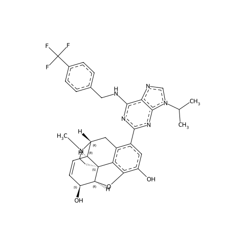 CC(C)n1cnc2c(NCc3ccc(C(F)(F)F)cc3)nc(-c3cc(O)c4c5c3C[C@@H]3[C@@H]6C=C[C@H](O)[C@H](O4)[C@]56CCN3C)nc21